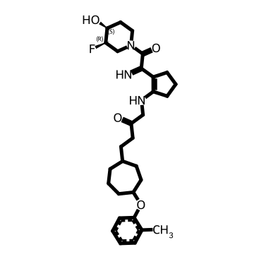 Cc1ccccc1OC1CCCC(CCC(=O)CNC2=C(C(=N)C(=O)N3CC[C@H](O)[C@H](F)C3)CCC2)CC1